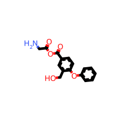 NCC(=O)OC(=O)c1ccc(Oc2ccccc2)c(CO)c1